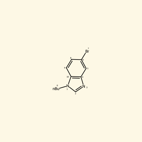 CCCCn1cnc2cc(Br)ccc21